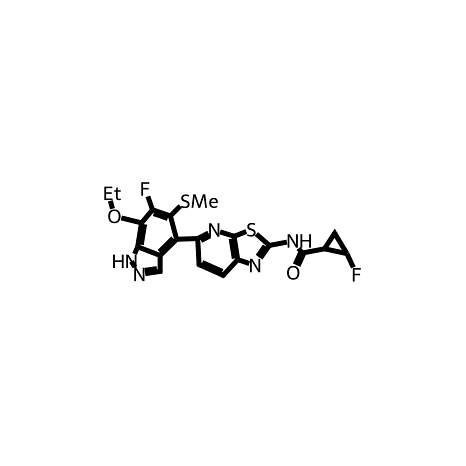 CCOc1c(F)c(SC)c(-c2ccc3nc(NC(=O)C4CC4F)sc3n2)c2cn[nH]c12